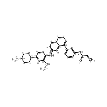 C=CC(=O)Nc1cccc(-c2nccc3cnc(Nc4ccc(N5CCN(C)CC5)nc4OC)nc23)c1